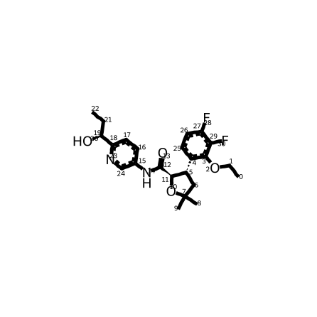 CCOc1c([C@@H]2CC(C)(C)O[C@H]2C(=O)Nc2ccc([C@@H](O)CC)nc2)ccc(F)c1F